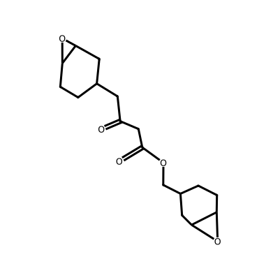 O=C(CC(=O)OCC1CCC2OC2C1)CC1CCC2OC2C1